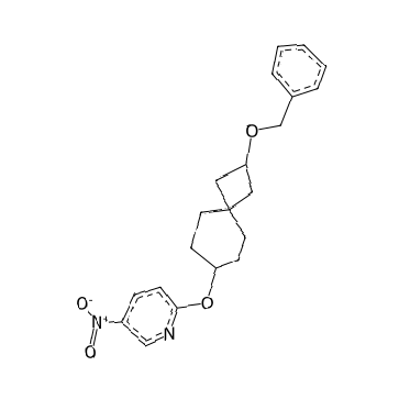 O=[N+]([O-])c1ccc(OC2CCC3(CC2)CC(OCc2ccccc2)C3)nc1